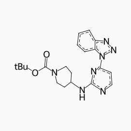 CC(C)(C)OC(=O)N1CCC(Nc2nccc(-n3nnc4ccccc43)n2)CC1